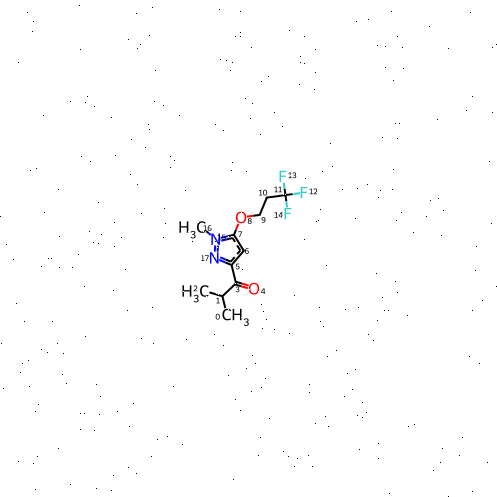 CC(C)C(=O)c1cc(OCCC(F)(F)F)n(C)n1